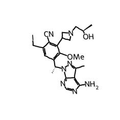 COc1c([C@@H](C)n2nc(C)c3c(N)ncnc32)cc(CI)c(C#N)c1C1CN(C[C@@H](C)O)C1